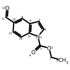 CCOC(=O)n1ccc2cc(C=O)ccc21